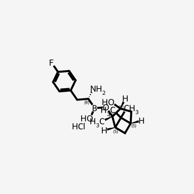 CC1(C)[C@@H]2C[C@@H](O)[C@@](C)(OB(O)[C@@H](N)Cc3ccc(F)cc3)[C@H]1C2.Cl